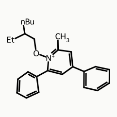 CCCCC(CC)CO[n+]1c(C)cc(-c2ccccc2)cc1-c1ccccc1